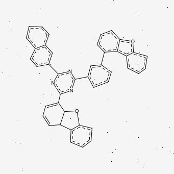 C1=CC2c3ccccc3OC2C(c2nc(-c3cccc(-c4cccc5oc6ccccc6c45)c3)nc(-c3ccc4ccccc4c3)n2)=C1